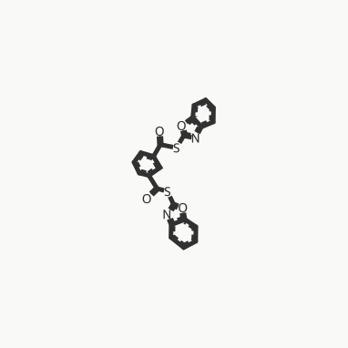 O=C(Sc1nc2ccccc2o1)c1cccc(C(=O)Sc2nc3ccccc3o2)c1